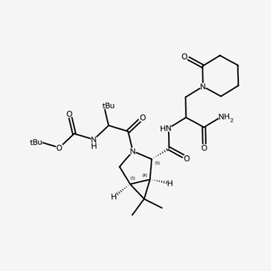 CC(C)(C)OC(=O)NC(C(=O)N1C[C@H]2[C@@H]([C@H]1C(=O)NC(CN1CCCCC1=O)C(N)=O)C2(C)C)C(C)(C)C